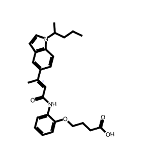 CCCC(C)n1ccc2cc(/C(C)=C/C(=O)Nc3ccccc3OCCCC(=O)O)ccc21